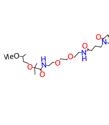 C=C1C=CC(=O)N1CCCC(=O)NCCOCCOCCNC(=O)C(C)(C)OCCC(C)OC